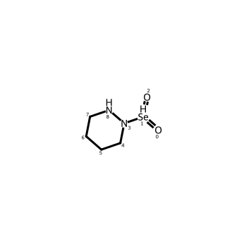 O=[SeH](=O)N1CCCCN1